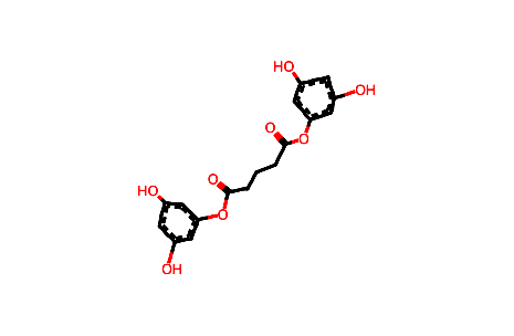 O=C(CCCC(=O)Oc1cc(O)cc(O)c1)Oc1cc(O)cc(O)c1